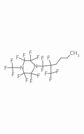 CCCCC(F)(C(F)(F)F)C(F)(F)N1C(F)(F)C(F)(F)N(C(F)(F)F)C(F)(F)C1(F)F